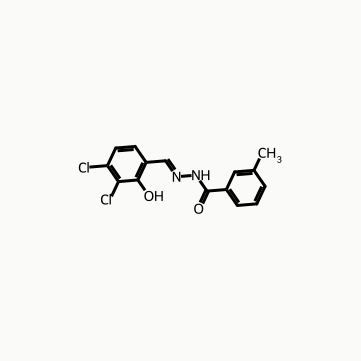 Cc1cccc(C(=O)N/N=C/c2ccc(Cl)c(Cl)c2O)c1